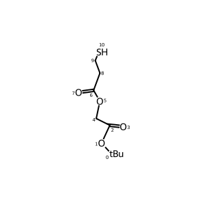 CC(C)(C)OC(=O)COC(=O)CCS